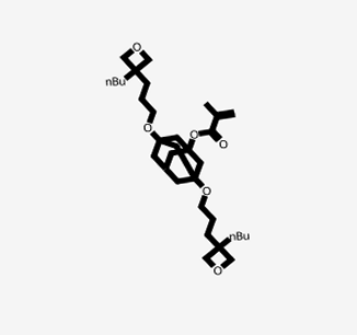 C=C(C)C(=O)OC12CC3CC(OCCCC4(CCCC)COC4)(CC(OCCCC4(CCCC)COC4)(C3)C1)C2